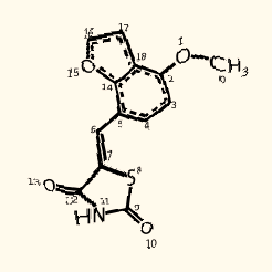 COc1ccc(/C=C2\SC(=O)NC2=O)c2occc12